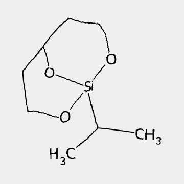 CC(C)[Si]12OCCC(CCO1)O2